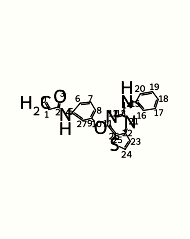 C=CC(=O)Nc1cccc(Oc2nc(Nc3ccccc3)nc3ccsc23)c1